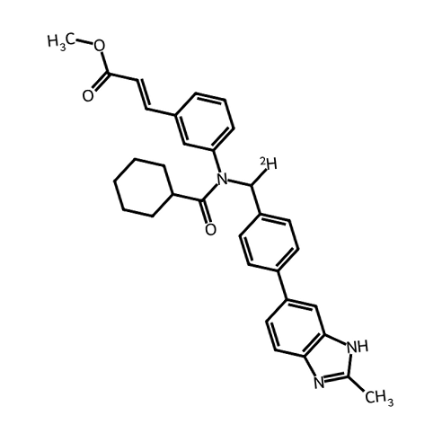 [2H]C(c1ccc(-c2ccc3nc(C)[nH]c3c2)cc1)N(C(=O)C1CCCCC1)c1cccc(/C=C/C(=O)OC)c1